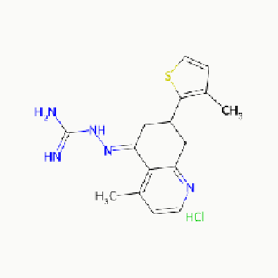 Cc1ccsc1C1CC(=NNC(=N)N)c2c(C)ccnc2C1.Cl